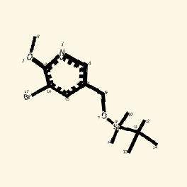 COc1ncc(CO[Si](C)(C)C(C)(C)C)cc1Br